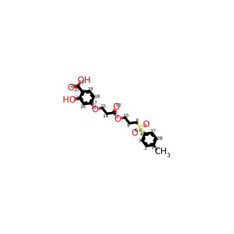 Cc1ccc(S(=O)(=O)CCCOC(=O)CCOc2ccc(C(=O)O)c(O)c2)cc1